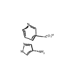 Nc1cn[nH]c1.O=C(O)c1cccnc1